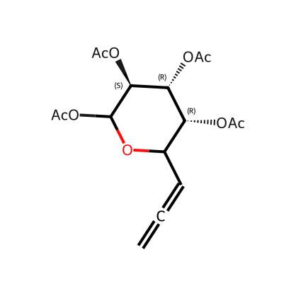 C=C=CC1OC(OC(C)=O)[C@@H](OC(C)=O)[C@H](OC(C)=O)[C@@H]1OC(C)=O